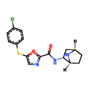 O=C(N[C@@H]1C[C@H]2CC[C@@H]1N2)c1ncc(Sc2ccc(Cl)cc2)o1